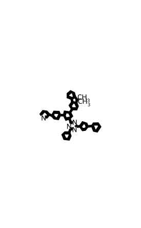 CC1(C)c2ccccc2-c2cc(-c3cc(-c4ccc(-c5cccnc5)cc4)cc(-c4nc(-c5ccccc5)nc(-c5ccc(-c6ccccc6)cc5)n4)c3)ccc21